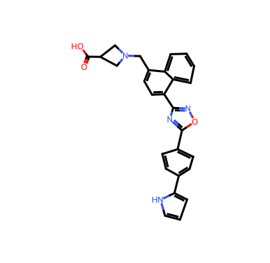 O=C(O)C1CN(Cc2ccc(-c3noc(-c4ccc(-c5ccc[nH]5)cc4)n3)c3ccccc23)C1